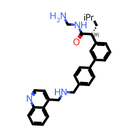 CC(C)C[C@@H](C(=O)NCN)c1cccc(-c2ccc(CNCc3ccnc4ccccc34)cc2)c1